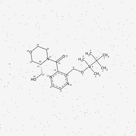 CC(C)(C)[Si](C)(C)OCc1nccnc1C(=O)N1CCOC[C@H]1CO